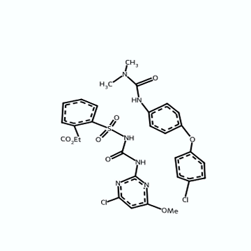 CCOC(=O)c1ccccc1S(=O)(=O)NC(=O)Nc1nc(Cl)cc(OC)n1.CN(C)C(=O)Nc1ccc(Oc2ccc(Cl)cc2)cc1